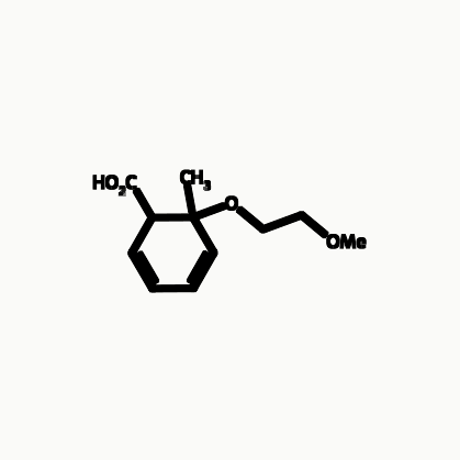 COCCOC1(C)C=CC=CC1C(=O)O